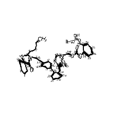 CCCCC1=NC2(CCCC2)C(=O)N1Cc1ccc(-c2ccccc2-c2nnn(COC(=O)Oc3ccccc3CON(O)O)n2)cc1